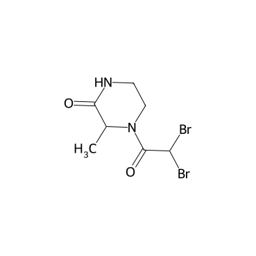 CC1C(=O)NCCN1C(=O)C(Br)Br